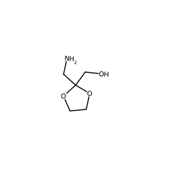 NCC1(CO)OCCO1